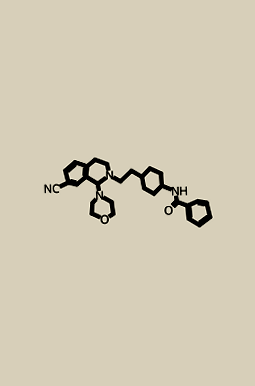 N#Cc1ccc2c(c1)C(N1CCOCC1)N(CCC1CCC(NC(=O)c3ccccc3)CC1)CC2